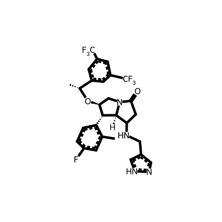 Cc1cc(F)ccc1[C@@H]1[C@@H](O[C@H](C)c2cc(C(F)(F)F)cc(C(F)(F)F)c2)CN2C(=O)CC(NCc3cn[nH]c3)[C@@H]12